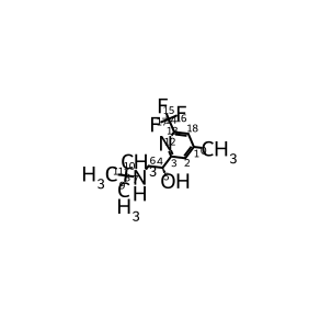 Cc1cc([C@@H](O)CNC(C)(C)C)nc(C(F)(F)F)c1